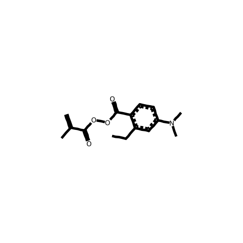 C=C(C)C(=O)OOC(=O)c1ccc(N(C)C)cc1CC